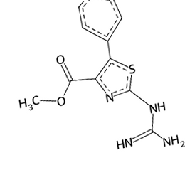 COC(=O)c1nc(NC(=N)N)sc1-c1ccccc1